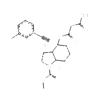 COC(=O)N1CC[C@@H]2[C@H]1CCC[C@]2(C#Cc1cccc(C)c1)OC(=O)CC(N)=O